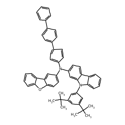 CC(C)(C)c1cc(-n2c3ccccc3c3ccc(N(c4ccc(-c5ccc(-c6ccccc6)cc5)cc4)c4ccc5oc6ccccc6c5c4)cc32)cc(C(C)(C)C)c1